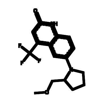 COCC1CCCN1c1ccc2[nH]c(=O)cc(C(F)(F)F)c2c1